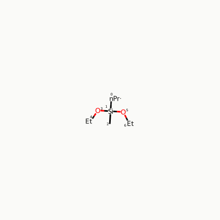 [CH2]C[CH][Si](C)(OCC)OCC